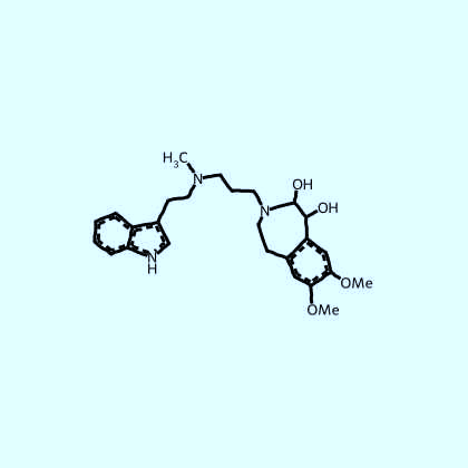 COc1cc2c(cc1OC)C(O)C(O)N(CCCN(C)CCc1c[nH]c3ccccc13)CC2